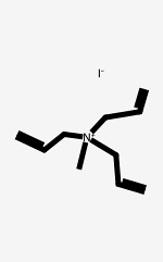 C=CC[N+](C)(CC=C)CC=C.[I-]